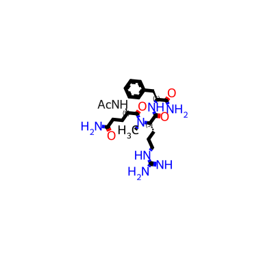 CC(=O)N[C@@H](CCC(N)=O)C(=O)N(C)[C@@H](CCCNC(=N)N)C(=O)N[C@@H](Cc1ccccc1)C(N)=O